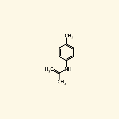 C=C(C)Nc1ccc(C)cc1